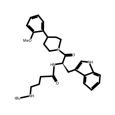 COc1ccccc1C1CCN(C(=O)[C@@H](Cc2c[nH]c3ccccc23)NC(=O)CCCNC(C)(C)C)CC1